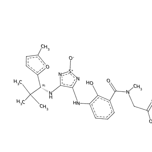 Cc1ccc([C@H](Nc2n[s+]([O-])nc2Nc2cccc(C(=O)N(C)CC(=O)O)c2O)C(C)(C)C)o1